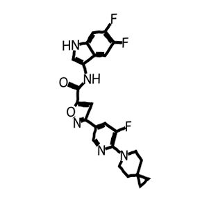 O=C(Nc1c[nH]c2cc(F)c(F)cc12)c1cc(-c2cnc(N3CCC4(CC3)CC4)c(F)c2)no1